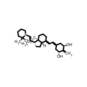 C=C1[C@H](O)CC(=C/C=C2\CCC[C@]3(C)[C@@H]([C@H](C)CN4CCCCC4(C)C)CC[C@@H]23)C[C@H]1O